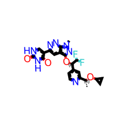 C[C@@H](OC1CC1)c1cc([C@@H](Oc2nn(C)c3nnc(-c4c[nH]c(=O)[nH]c4=O)cc23)C(F)F)ccn1